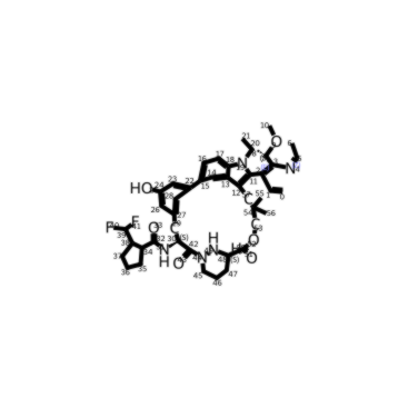 C=C/C(=C(\N=C/C)[C@H](C)OC)c1c2c3cc(ccc3n1CC)-c1cc(O)cc(c1)C[C@H](NC(=O)C1CCCC1C(F)F)C(=O)N1CCC[C@H](N1)C(=O)OCC(C)(C)C2